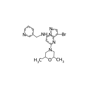 CC1CN(c2cc(NCc3cccnc3)n3ncc(Br)c3n2)CC(C)O1